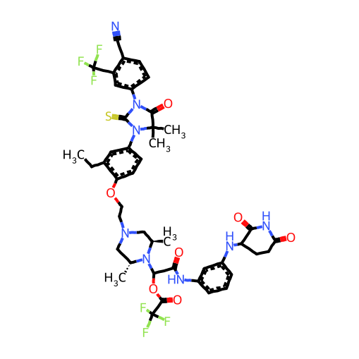 CCc1cc(N2C(=S)N(c3ccc(C#N)c(C(F)(F)F)c3)C(=O)C2(C)C)ccc1OCCN1C[C@@H](C)N(C(OC(=O)C(F)(F)F)C(=O)Nc2cccc(NC3CCC(=O)NC3=O)c2)[C@H](C)C1